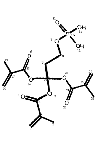 C=C(C)C(=O)OC(CCOP(=O)(O)O)(OC(=O)C(=C)C)OC(=O)C(=C)C